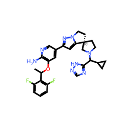 CC(Oc1cc(-c2cc3n(n2)CC[C@@]32CCN(C(c3ncn[nH]3)C3CC3)C2)cnc1N)c1c(F)cccc1F